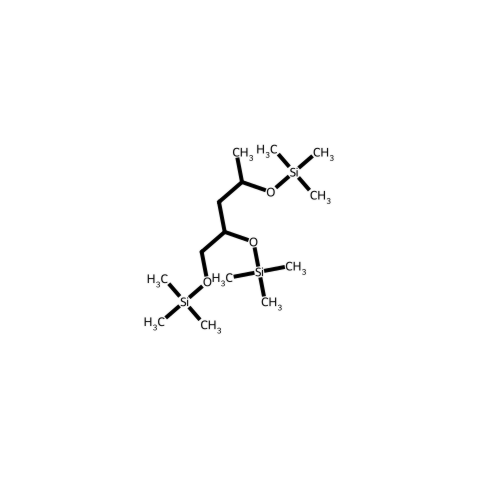 CC(CC(CO[Si](C)(C)C)O[Si](C)(C)C)O[Si](C)(C)C